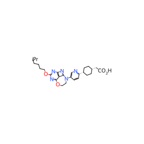 CC(C)CCCCOc1nc2c3c(n1)OCCN(c1ccc([C@H]4CC[C@@H](CC(=O)O)CC4)nc1)C3=N2